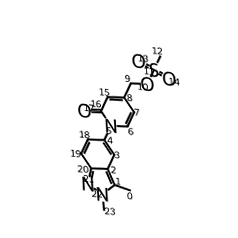 Cc1c2cc(-n3ccc(COS(C)(=O)=O)cc3=O)ccc2nn1C